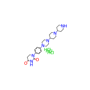 Cl.Cl.Cl.O=C1CCN(c2ccc(N3CCN(C4CCN(C5CCNCC5)CC4)CC3)cc2)C(=O)N1